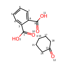 O=C(O)c1ccccc1C(=O)O.O=C1CCCCC1